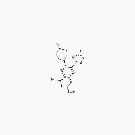 COc1cc(F)c2nc(N3CCC(=O)CC3)c(-c3nc(C)no3)cc2c1